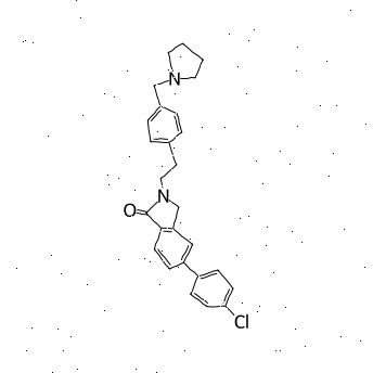 O=C1c2ccc(-c3ccc(Cl)cc3)cc2CN1CCc1ccc(CN2CCCC2)cc1